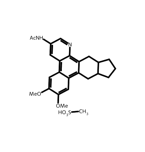 COc1cc2c3c(c4ncc(NC(C)=O)cc4c2cc1OC)CC1CCCC1C3.CS(=O)(=O)O